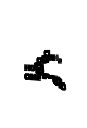 COc1cc2c(O)cc(Oc3ccc(N)c(Cl)c3)nc2cc1OCCCN1CCC2(CC1)COC2